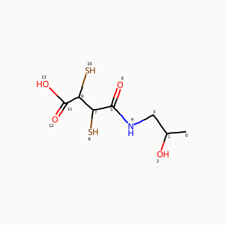 CC(O)CNC(=O)C(S)C(S)C(=O)O